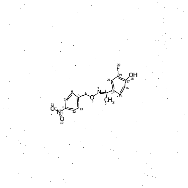 C/C(=N\OCc1ccc([N+](=O)[O-])cc1)c1ccc(O)c(F)c1